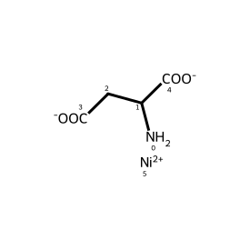 NC(CC(=O)[O-])C(=O)[O-].[Ni+2]